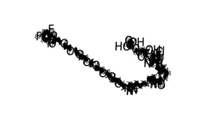 O=C(CCOCCOCCOCCOCCOCCOCCOCCOCCn1cc(CCCCn2ccc(C(=O)N3CCCC4(C3)CN(c3nc(Cl)nc5c3cnn5[C@@H]3O[C@H](COCP(=O)(O)O)C[C@H]3O)C4)n2)nn1)Oc1c(F)cc(F)cc1F